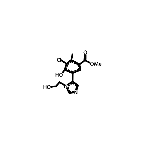 COC(=O)c1cc(-c2cncn2CCO)c(O)c(Cl)c1C